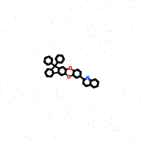 c1ccc(C2(c3ccccc3)c3ccccc3-c3cc4c(cc32)Oc2ccc(-c3ccc5ccccc5n3)cc2O4)cc1